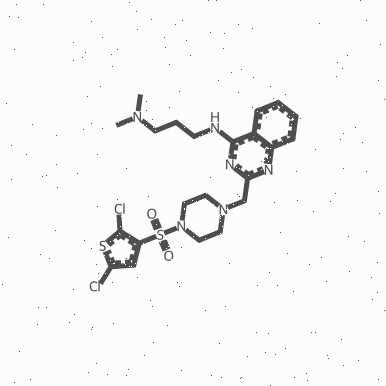 CN(C)CCCNc1nc(CN2CCN(S(=O)(=O)c3cc(Cl)sc3Cl)CC2)nc2ccccc12